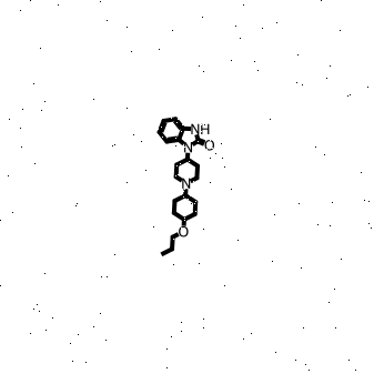 CCCOC1CCC(N2CCC(n3c(=O)[nH]c4ccccc43)CC2)CC1